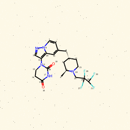 C[C@H]1C[C@H](Cc2ccn3ncc(N4CCC(=O)NC4=O)c3c2)CCN1CC(F)(F)C(F)F